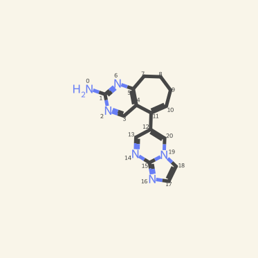 Nc1ncc2c(n1)CCCC=C2c1cnc2nccn2c1